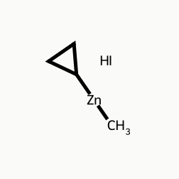 I.[CH3][Zn][CH]1CC1